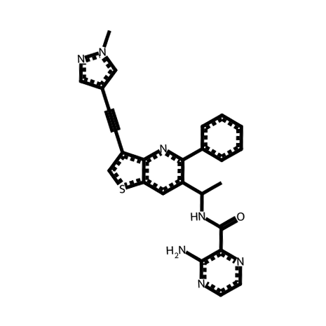 CC(NC(=O)c1nccnc1N)c1cc2scc(C#Cc3cnn(C)c3)c2nc1-c1ccccc1